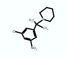 CC(C)(c1cc(Cl)cc([N+](=O)[O-])c1)N1CCCCC1